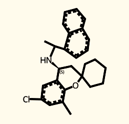 Cc1cc(Cl)cc2c1OC1(CCCCC1)C[C@@H]2NC(C)c1cccc2ccccc12